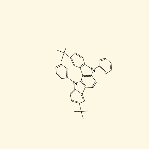 CC(C)(C)c1ccc2c(c1)c1c(ccc3c4cc(C(C)(C)C)ccc4n(-c4ccccc4)c31)n2-c1ccccc1